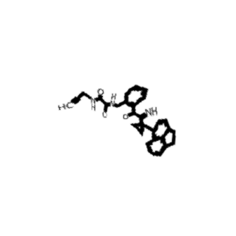 C#CCNC(=O)C(=O)NCc1ccccc1C(=O)C(=N)C1(c2ccc3c4c(cccc24)CC3)CC1